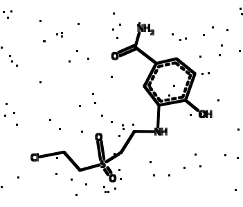 NC(=O)c1ccc(O)c(NCCS(=O)(=O)CCCl)c1